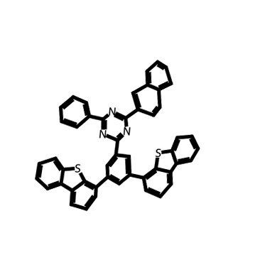 c1ccc(-c2nc(-c3cc(-c4cccc5c4sc4ccccc45)cc(-c4cccc5c4sc4ccccc45)c3)nc(-c3ccc4ccccc4c3)n2)cc1